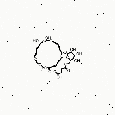 C[C@@H]1CCC/C=C/C=C/[C@H](O)C[C@@H](O)C/C=C\C=C\[C@@H](O[C@@H]2O[C@H](COC(=O)CCC(=O)O)[C@@H](O)[C@H](O)[C@H]2O)C/C=C/C=C\C(=O)O1